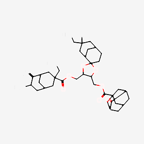 C=C1C(C)CC2CC1CC(CC)(C(=O)OCC1OC3(CCC4CC3CC(C)(CC)C4)OC1COC(=O)C13CC4CC(C1)C(=O)C(C4)C3)C2